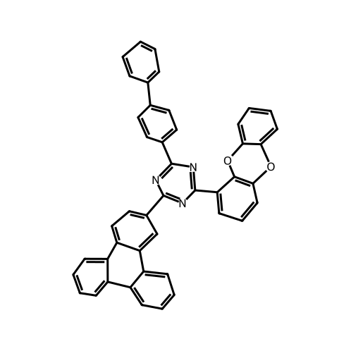 c1ccc(-c2ccc(-c3nc(-c4ccc5c6ccccc6c6ccccc6c5c4)nc(-c4cccc5c4Oc4ccccc4O5)n3)cc2)cc1